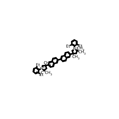 CCc1cccc(CC)c1[N+]1=C[C@](C)(c2ccc3cc(-c4ccc5cc([C@]6(C)C=[N+](c7c(CC)cccc7CC)C(C)(C)C6)ccc5c4)ccc3c2)CC1(C)C